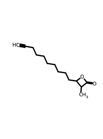 C#CCCCCCCCCC1OC(=O)C1C